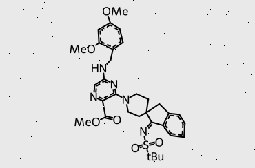 COC(=O)c1ncc(NCc2ccc(OC)cc2OC)nc1N1CCC2(CC1)Cc1ccccc1C2=NS(=O)(=O)C(C)(C)C